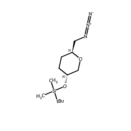 CC(C)(C)[Si](C)(C)O[C@@H]1CC[C@@H](CN=[N+]=[N-])OC1